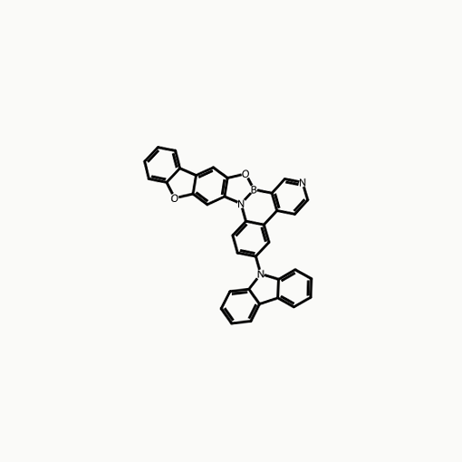 c1ccc2c(c1)oc1cc3c(cc12)OB1c2cnccc2-c2cc(-n4c5ccccc5c5ccccc54)ccc2N13